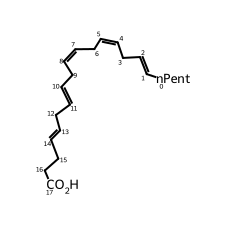 CCCCC/C=C/C/C=C\C/C=C\C/C=C/C/C=C/CCC(=O)O